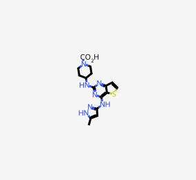 Cc1cc(Nc2nc(NC3CCN(C(=O)O)CC3)nc3ccsc23)n[nH]1